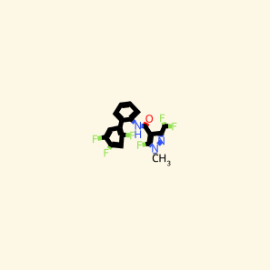 Cn1nc(C(F)F)c(C(=O)Nc2ccccc2-c2cc(F)c(F)cc2F)c1F